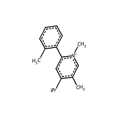 Cc1ccccc1-c1cc(C(C)C)c(C)c[n+]1C